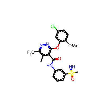 COc1ccc(Cl)cc1Oc1nnc(C(F)(F)F)c(C)c1C(=O)Nc1cccc(S(C)(=N)=O)c1